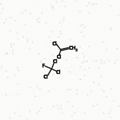 C=C(Cl)Cl.FC(Cl)(Cl)Cl